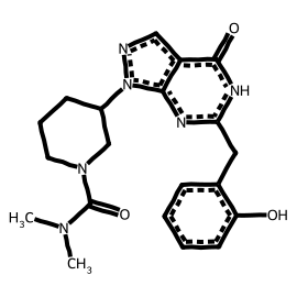 CN(C)C(=O)N1CCCC(n2ncc3c(=O)[nH]c(Cc4ccccc4O)nc32)C1